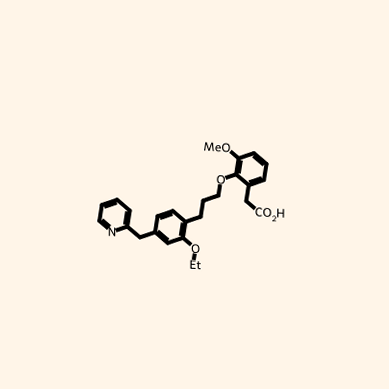 CCOc1cc(Cc2ccccn2)ccc1CCCOc1c(CC(=O)O)cccc1OC